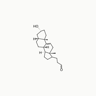 C[C@]12CC[C@@H](O)C[C@H]1CC[C@@H]1C2=CC[C@]2(C)C(CCC=O)CC[C@@H]12